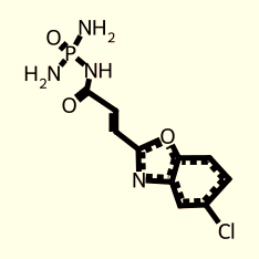 NP(N)(=O)NC(=O)C=Cc1nc2cc(Cl)ccc2o1